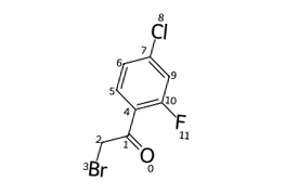 O=C(CBr)c1ccc(Cl)cc1F